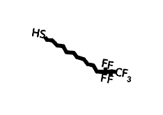 FC(F)(F)C(F)(F)C(F)(F)CCCCCCCCCCCS